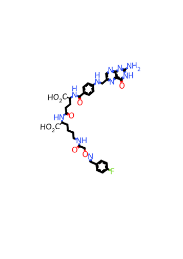 Nc1nc2ncc(CNc3ccc(C(=O)N[C@@H](CCC(=O)N[C@@H](CCCCNC(=O)CO/N=C/c4ccc(F)cc4)C(=O)O)C(=O)O)cc3)nc2c(=O)[nH]1